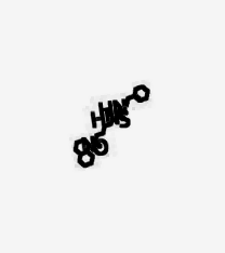 O=C(CCCCNC(=S)NCCC1=CCCCC1)N1CCCC2CCCCC21